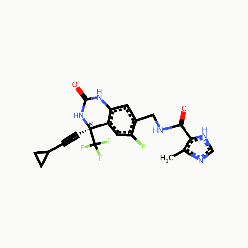 Cc1nc[nH]c1C(=O)NCc1cc2c(cc1F)[C@@](C#CC1CC1)(C(F)(F)F)NC(=O)N2